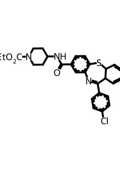 CCOC(=O)N1CCC(NC(=O)c2ccc3c(c2)N=C(c2ccc(Cl)cc2)C2C=CC=CC2S3)CC1